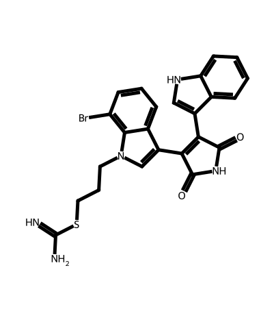 N=C(N)SCCCn1cc(C2=C(c3c[nH]c4ccccc34)C(=O)NC2=O)c2cccc(Br)c21